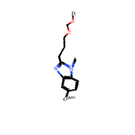 CCOCOCCCc1nc2cc(OC)ccc2n1C